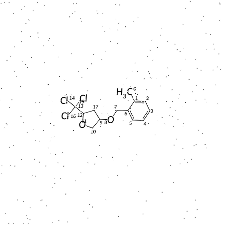 Cc1ccccc1COC1COC(C(Cl)(Cl)Cl)C1